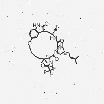 CC(C)=CC[C@@H]1C[C@H]2C(=O)N[C@H](C#N)CC3C(=O)Nc4ccc(cc43)OCCCCC(C)(C)[C@H](NC(=O)C(F)(F)F)C(=O)N2C1